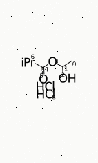 CC(O)OC(=O)C(C)C.Cl.Cl